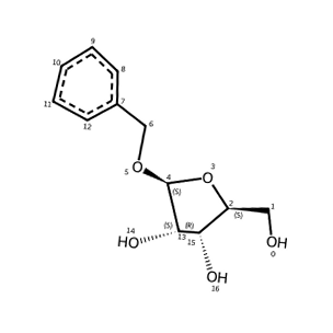 OC[C@@H]1O[C@H](OCc2ccccc2)[C@@H](O)[C@H]1O